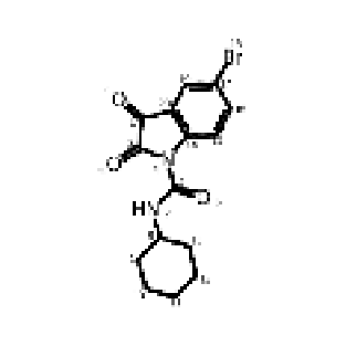 O=C1C(=O)N(C(=O)NC2CCCCC2)c2ccc(Br)cc21